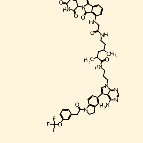 CC(CCNC(=O)CNc1cccc2c1C(=O)N(C1CCC(=O)NC1=O)C2=O)CC(C)C(=O)NCCCn1cc(-c2ccc3c(c2)CCN3C(=O)Cc2cccc(OC(F)(F)F)c2)c2c(N)ncnc21